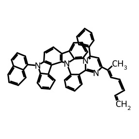 C=C/C=C\C=C(/C)c1cc(-c2ccccc2)nc(-c2ccccc2-n2c3ccccc3c3ccc4c(c5ccccc5n4-c4cccc5ccccc45)c32)n1